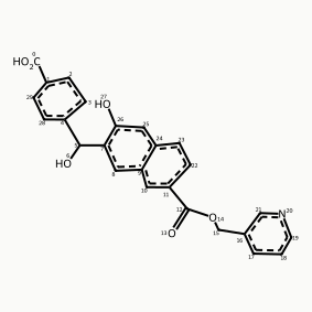 O=C(O)c1ccc(C(O)c2cc3cc(C(=O)OCc4cccnc4)ccc3cc2O)cc1